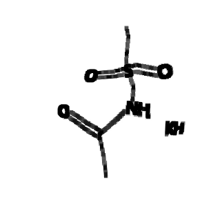 CC(=O)NS(C)(=O)=O.[KH]